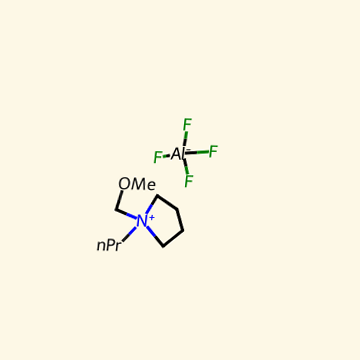 CCC[N+]1(COC)CCCC1.[F][Al-]([F])([F])[F]